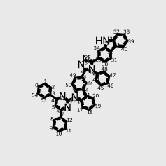 c1ccc(-c2cc(-c3ccccc3)nc(-n3c4ccccc4c4cc(-c5nnc(-c6ccc7c(c6)[nH]c6ccccc67)n5-c5ccccc5)ccc43)n2)cc1